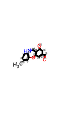 Cc1ccc2c(c1)OC1=C(CN2)C(=O)CC(C=O)=C1